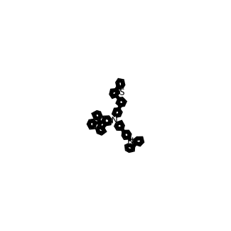 c1ccc(C2(c3ccccc3)c3ccccc3-c3cc(N(c4ccc(-c5ccc(-n6c7ccccc7c7ccccc76)cc5)cc4)c4ccc(-c5cccc(-c6cccc7c6sc6ccccc67)c5)cc4)ccc32)cc1